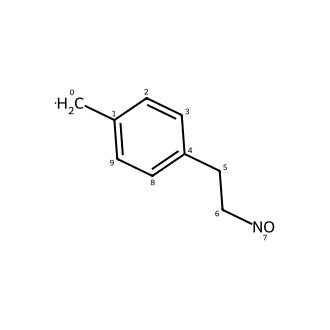 [CH2]c1ccc(CCN=O)cc1